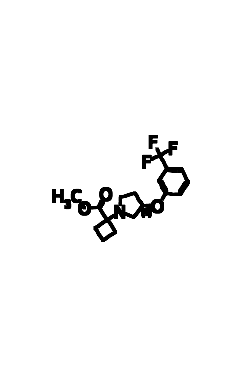 COC(=O)C1(N2CC[C@@H](Oc3cccc(C(F)(F)F)c3)C2)CCC1